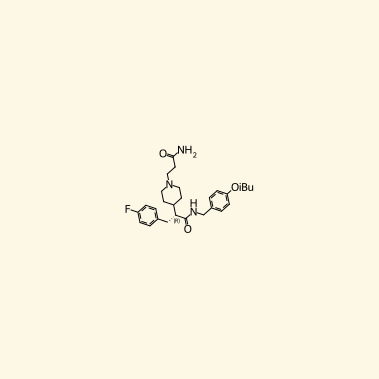 CC(C)COc1ccc(CNC(=O)[C@H](Cc2ccc(F)cc2)C2CCN(CCC(N)=O)CC2)cc1